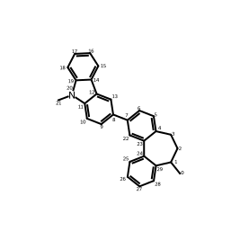 CC1CCc2ccc(-c3ccc4c(c3)c3ccccc3n4C)cc2-c2ccccc21